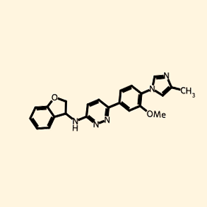 COc1cc(-c2ccc(NC3COc4ccccc43)nn2)ccc1-n1cnc(C)c1